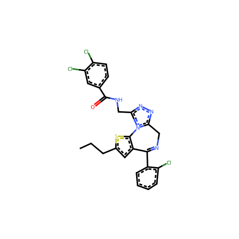 CCCc1cc2c(s1)-n1c(nnc1CNC(=O)c1ccc(Cl)c(Cl)c1)CN=C2c1ccccc1Cl